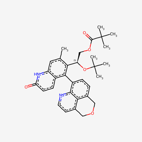 Cc1cc2[nH]c(=O)ccc2c(-c2ccc3c4c(ccnc24)COC3)c1[C@@H](COC(=O)C(C)(C)C)OC(C)(C)C